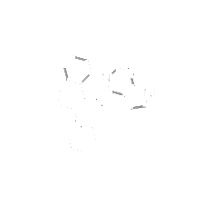 Cc1cc2c(N[C@H]3c4ccccc4OC[C@@H]3N3CCOCC3)ncnc2[nH]1